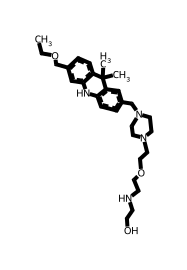 CCOCc1ccc2c(c1)Nc1ccc(CN3CCN(CCOCCNCCO)CC3)cc1C2(C)C